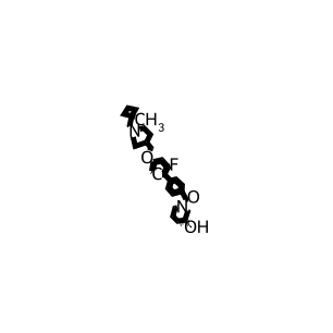 CC1(CN2CCC(COc3ccc(-c4ccc(C(=O)N5CCC[C@@H](O)C5)cc4)c(F)c3)CC2)CCC1